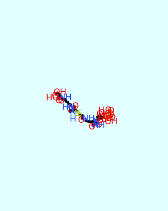 CC(=O)NC(CSSCCC(=O)NCC#Cc1cn(C2CC(O)C(COP(=O)(O)OP(=O)(O)OP(=O)(O)O)O2)c(=O)[nH]c1=O)C(=O)NCCCCCC(=O)NC(CC(=O)O)C(=O)O